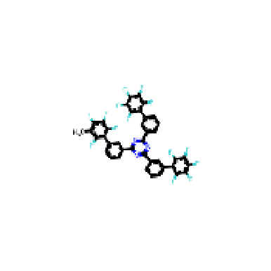 Cc1c(F)c(F)c(F)c(-c2cccc(-c3nc(-c4cccc(-c5c(F)c(F)c(F)c(F)c5F)c4)nc(-c4cccc(-c5c(F)c(F)c(F)c(F)c5F)c4)n3)c2)c1F